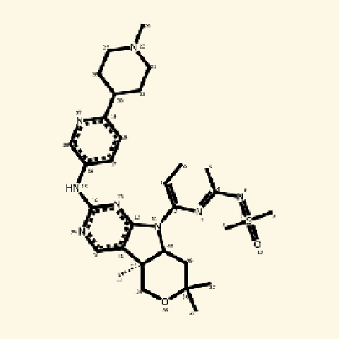 C/C=C(\N=C(/C)N=S(C)(C)=O)N1c2nc(Nc3ccc(C4CCN(C)CC4)nc3)ncc2[C@]2(C)COC(C)(C)CC12